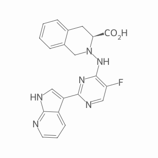 O=C(O)[C@@H]1Cc2ccccc2CN1Nc1nc(-c2c[nH]c3ncccc23)ncc1F